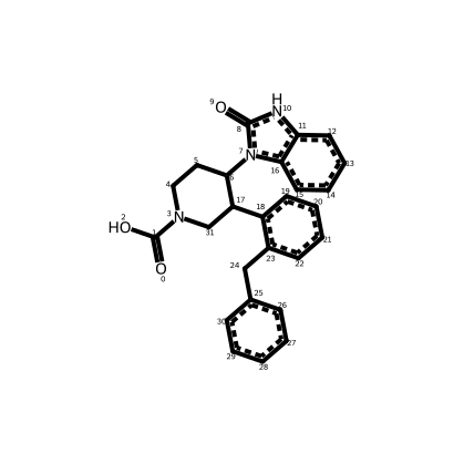 O=C(O)N1CCC(n2c(=O)[nH]c3ccccc32)C(c2ccccc2Cc2ccccc2)C1